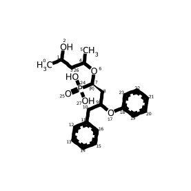 CC(O)CC(C)O[C@@H](CC(Cc1ccccc1)Oc1ccccc1)P(=O)(O)O